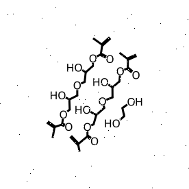 C=C(C)C(=O)OCC(O)COCC(O)COC(=O)C(=C)C.C=C(C)C(=O)OCC(O)COCC(O)COC(=O)C(=C)C.OCCO